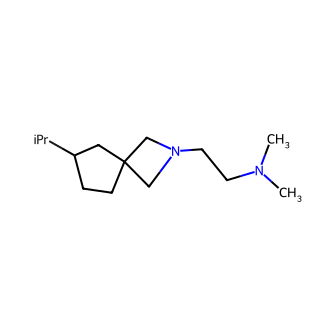 CC(C)C1CCC2(C1)CN(CCN(C)C)C2